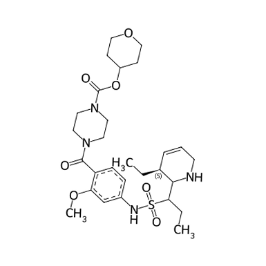 CCC(C1NCC=C[C@@H]1CC)S(=O)(=O)Nc1ccc(C(=O)N2CCN(C(=O)OC3CCOCC3)CC2)c(OC)c1